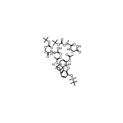 C[C@H](OC(=O)OC(C)(C)C)C(=O)N[C@@H](CC(=O)OC1=CC[C@@]2(OC(=O)C[C@H](NC(=O)[C@H](C)OC(=O)OC(C)(C)C)C(=O)O)[C@@H]3CCC[C@@]24c2c(ccc(O[Si](C)(C)C(C)(C)C)c2O[C@@H]14)C3)C(=O)O